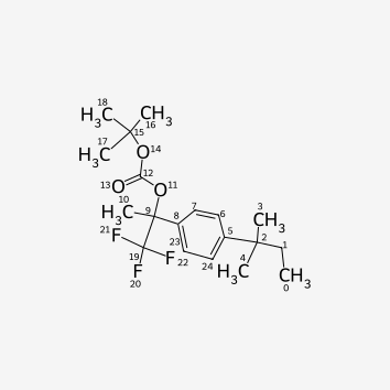 CCC(C)(C)c1ccc(C(C)(OC(=O)OC(C)(C)C)C(F)(F)F)cc1